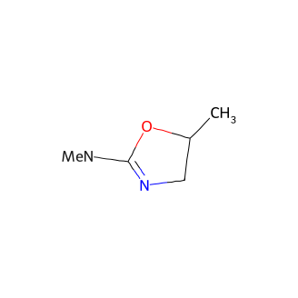 CNC1=NCC(C)O1